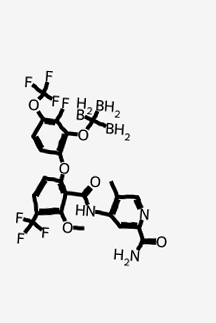 BC(B)(B)Oc1c(Oc2ccc(C(F)(F)F)c(OC)c2C(=O)Nc2cc(C(N)=O)ncc2C)ccc(OC(F)(F)F)c1F